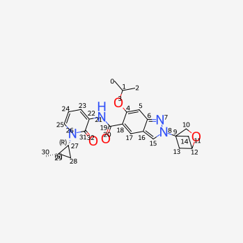 CC(C)Oc1cc2nn(C34COC(C3)C4)cc2cc1C(=O)Nc1cccn([C@@H]2C[C@@H]2C)c1=O